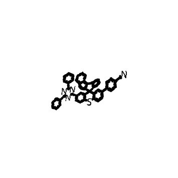 N#Cc1ccc(-c2ccc3c(c2)C2(c4cc(-c5nc(-c6ccccc6)nc(-c6ccccc6)n5)ccc4S3)c3ccccc3-c3c2ccc2ccccc32)cc1